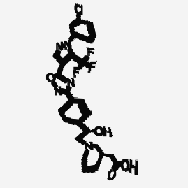 O=C(O)C[C@H]1CCCN(C[C@@H](O)c2ccc(-c3noc(-c4cnn(-c5cccc(Cl)c5)c4C(F)(F)F)n3)cc2)C1